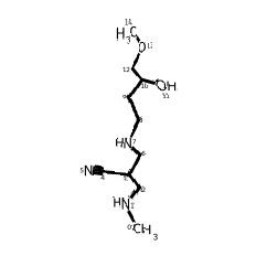 CNCC(C#N)CNCCC(O)COC